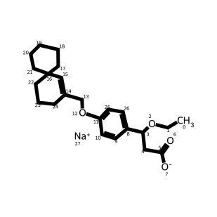 CCOC(CC(=O)[O-])c1ccc(OCC2=CC3(CCCCC3)CCC2)cc1.[Na+]